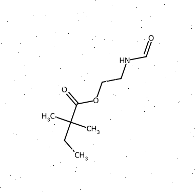 CCC(C)(C)C(=O)OCCNC=O